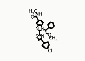 CNC(=O)c1ccc2c(c1)nc(-c1nc(-c3ccc(Cl)cc3)cs1)n2[C@H](COC)c1ccccc1